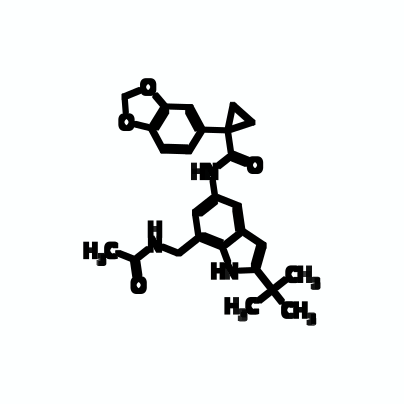 CC(=O)NCc1cc(NC(=O)C2(c3ccc4c(c3)OCO4)CC2)cc2cc(C(C)(C)C)[nH]c12